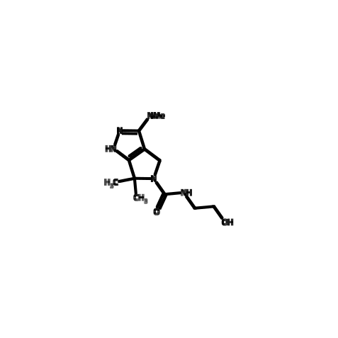 CNc1n[nH]c2c1CN(C(=O)NCCO)C2(C)C